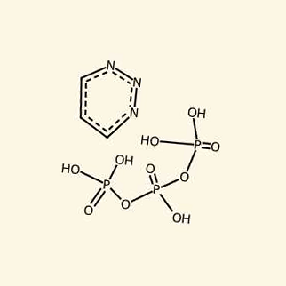 O=P(O)(O)OP(=O)(O)OP(=O)(O)O.c1cnnnc1